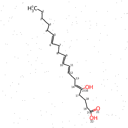 CCCCCC=CCCC=CC=CCC=C(O)CCCC(=O)O